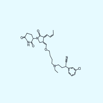 C\C=C/C=C1/C(=O)N(C2CCC(=O)NC2=O)C/C1=C\OCCCCN(CC)CCC(C#N)c1cccc(Cl)c1